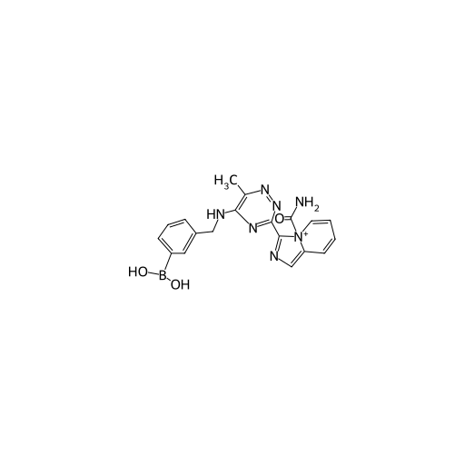 Cc1nnc(C2=NC=C3C=CC=C[N+]32C(N)=O)nc1NCc1cccc(B(O)O)c1